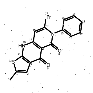 Cc1cc2c(=O)c3c(=O)n(-c4ccccc4)c(C(C)C)cc3[nH]c2s1